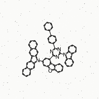 c1ccc(-c2ccc(-c3nc(-c4cc(-n5c6cc7ccccc7cc6c6cc7ccccc7cc65)cc5oc6ccccc6c45)nc(-n4c5ccccc5c5ccccc54)n3)cc2)cc1